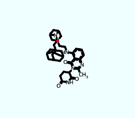 Cc1nc2cccc(NCCN3CC4CC(C3)N4CCC34CC5CC(CC(C5)C3)C4)c2c(=O)n1C1CCC(=O)NC1=O